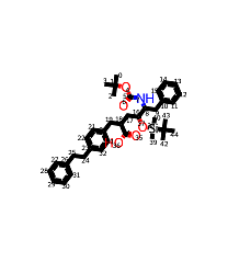 CC(C)(C)OC(=O)NC(Cc1ccccc1)C(CC(Cc1ccc(CCc2ccccc2)cc1)C(=O)O)O[Si](C)(C)C(C)(C)C